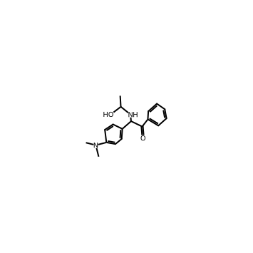 CC(O)NC(C(=O)c1ccccc1)c1ccc(N(C)C)cc1